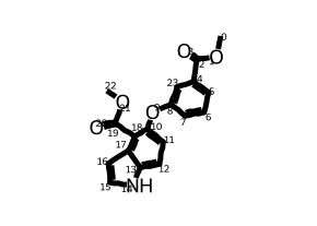 COC(=O)c1cccc(Oc2ccc3[nH]ccc3c2C(=O)OC)c1